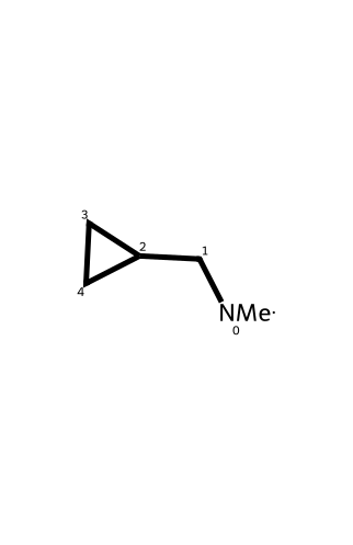 C[N]CC1CC1